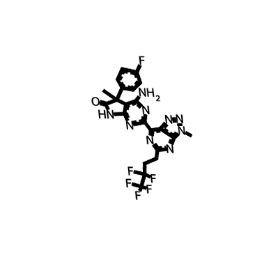 Cn1nnc2c(-c3nc(N)c4c(n3)NC(=O)C4(C)c3ccc(F)cc3)nc(CCC(F)(F)C(F)(F)F)nc21